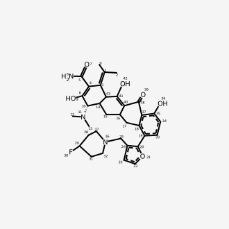 CC(C)=C1C(C(N)=O)=C(O)[C@@H](N(C)C)C2CC3Cc4c(-c5occc5CN5CCC(F)CC5)ccc(O)c4C(=O)C3=C(O)C12